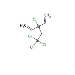 C=C[Si](Cl)(C=C)C[Si](Cl)(Cl)Cl